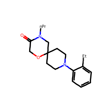 CCCN1CC2(CCN(c3ccccc3CC)CC2)OCC1=O